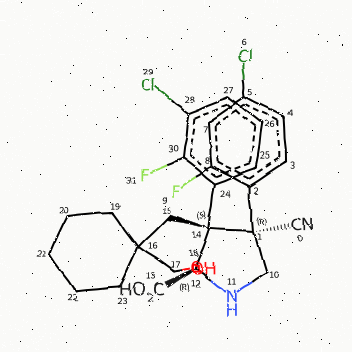 N#C[C@]1(c2ccc(Cl)cc2F)CN[C@@H](C(=O)O)[C@]1(CC1(CO)CCCCC1)c1cccc(Cl)c1F